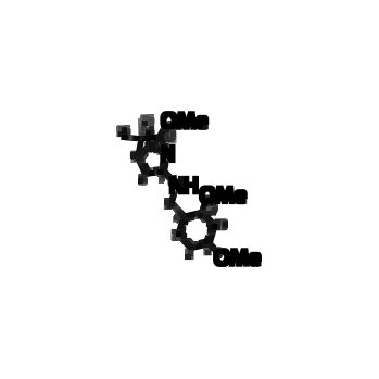 COc1ccc(CNc2cc3cn2C(OC)C3(C)C)c(OC)c1